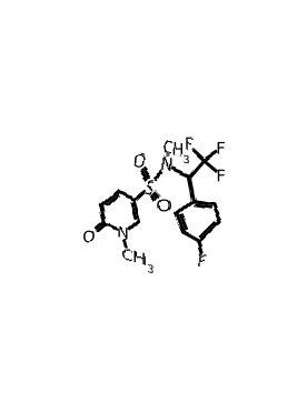 CN(C(c1ccc(F)cc1)C(F)(F)F)S(=O)(=O)c1ccc(=O)n(C)c1